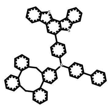 c1ccc(-c2ccc(N(c3ccc(-c4cc5c6ccccc6sc5c5c4sc4ccccc45)cc3)c3ccc4c(c3)Cc3ccccc3-c3ccccc3Cc3ccccc3-4)cc2)cc1